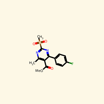 COC(=O)c1c(C)nc(S(C)(=O)=O)nc1-c1ccc(F)cc1